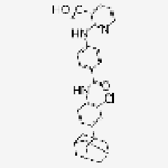 O=C(Nc1ccc(C23CC4CC(CC(C4)C2)C3)cc1Cl)c1ccc(Nc2ncccc2C(=O)O)cc1